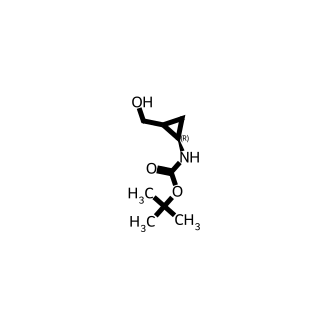 CC(C)(C)OC(=O)N[C@@H]1CC1CO